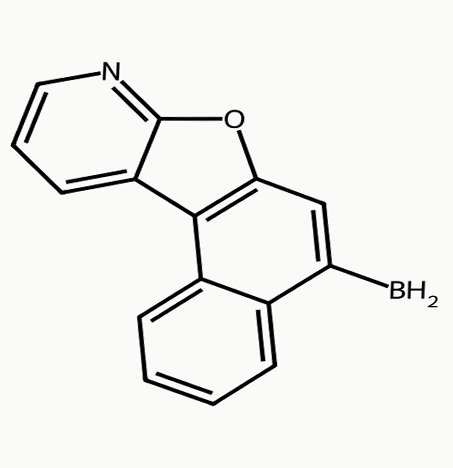 Bc1cc2oc3ncccc3c2c2ccccc12